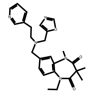 CCN1C(=O)C(C)(C)C(=O)N(C)c2cc(CN(CCc3cccnc3)Cc3cnco3)ccc21